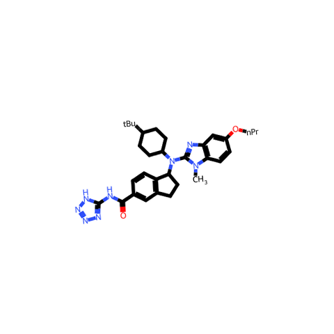 CCCOc1ccc2c(c1)nc(N(C1CCC(C(C)(C)C)CC1)C1CCc3cc(C(=O)Nc4nnn[nH]4)ccc31)n2C